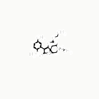 CCOC(=O)OC1=C(c2cc(C)ccc2C)C(=O)NC12CCN(OC)CC2